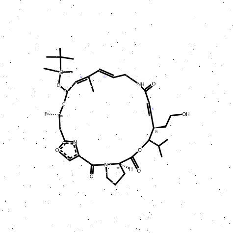 CC1=C\C(O[Si](C)(C)C(C)(C)C)C[C@@H](F)Cc2nc(co2)C(=O)N2CCC[C@@H]2C(=O)OC(C(C)C)[C@H](CCO)/C=C/C(=O)NC\C=C\1